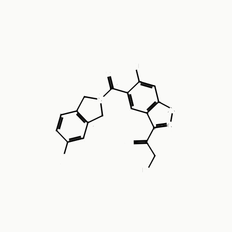 Cc1cc2[nH]nc(C(=O)CC(C)C)c2cc1C(=O)N1Cc2ccc(F)cc2C1